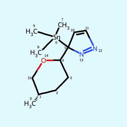 C[C@H]1CCC([C]2([Sn]([CH3])([CH3])[CH3])C=CN=N2)OC1